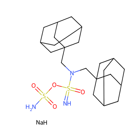 N=S(=O)(OS(N)(=O)=O)N(CC12CC3CC(CC(C3)C1)C2)CC12CC3CC(CC(C3)C1)C2.[NaH]